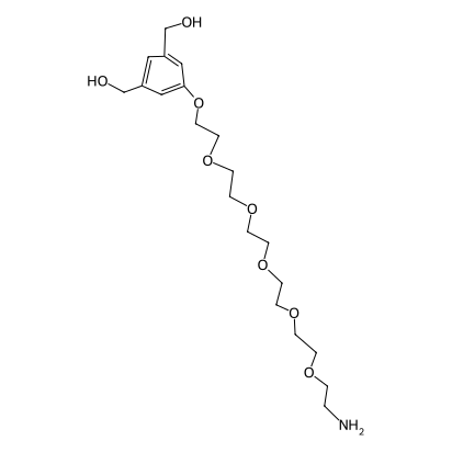 NCCOCCOCCOCCOCCOCCOc1cc(CO)cc(CO)c1